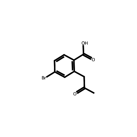 CC(=O)Cc1cc(Br)ccc1C(=O)O